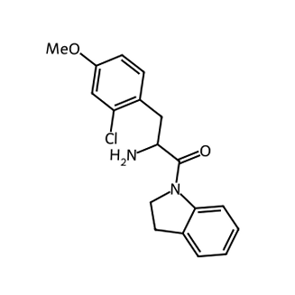 COc1ccc(CC(N)C(=O)N2CCc3ccccc32)c(Cl)c1